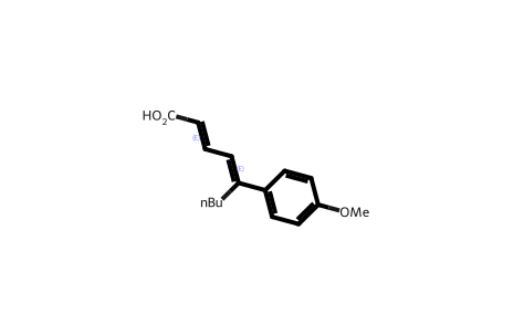 CCCC/C(=C\C=C\C(=O)O)c1ccc(OC)cc1